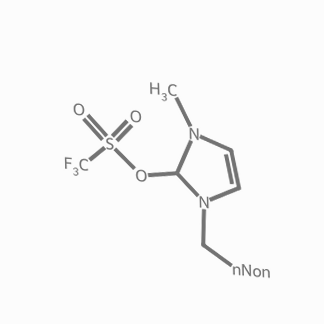 CCCCCCCCCCN1C=CN(C)C1OS(=O)(=O)C(F)(F)F